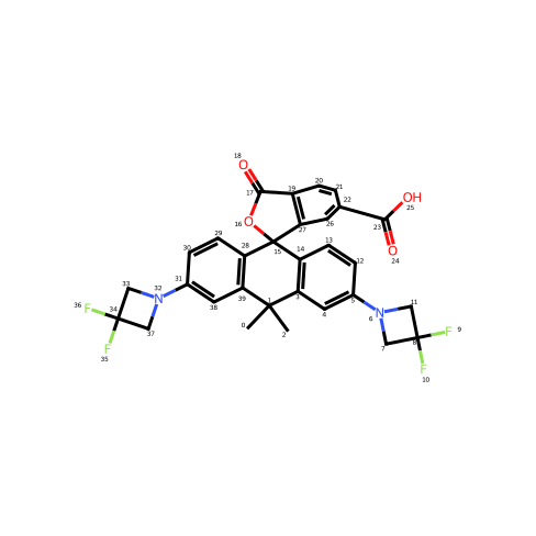 CC1(C)c2cc(N3CC(F)(F)C3)ccc2C2(OC(=O)c3ccc(C(=O)O)cc32)c2ccc(N3CC(F)(F)C3)cc21